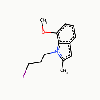 COc1cccc2cc(C)n(CCCI)c12